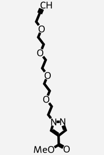 C#CCOCCOCCOCCOCCn1cc(C(=O)OC)cn1